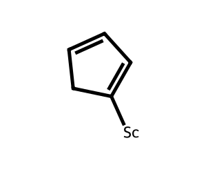 [Sc][C]1=CC=CC1